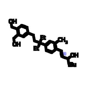 CCC(CC)(CCc1ccc(CO)c(CO)c1)c1ccc(/C=C/C(O)C(C)(C)C)c(C)c1